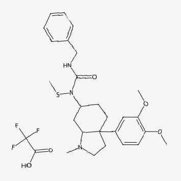 COc1ccc(C23CCC(N(SC)C(=O)NCc4ccccc4)CC2N(C)CC3)cc1OC.O=C(O)C(F)(F)F